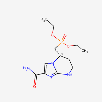 CCOP(=O)(C[C@@H]1CCNc2nc(C(N)=O)cn21)OCC